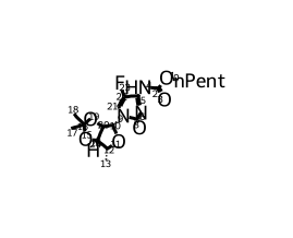 CCCCCOC(=O)Nc1nc(=O)n([C@@H]2O[C@H](C)[C@H]3OC(C)(C)OC23)cc1F